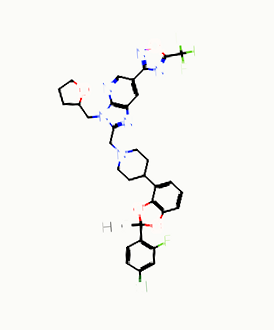 CC1(c2ccc(Cl)cc2F)Oc2cccc(C3CCN(Cc4nc5cc(-c6noc(C(F)(F)F)n6)cnc5n4CC4CCCO4)CC3)c2O1